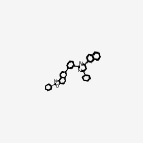 c1ccc(-c2cc(-c3ccc4ccccc4c3)nc(-c3cccc(-c4ccc5c(ccc6oc(-c7ccccc7)nc65)c4)c3)n2)cc1